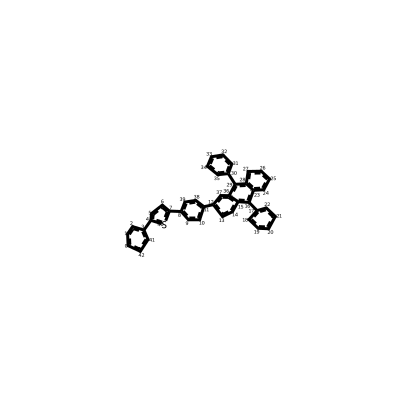 c1ccc(-c2ccc(-c3ccc(-c4ccc5c(-c6ccccc6)c6ccccc6c(-c6ccccc6)c5c4)cc3)s2)cc1